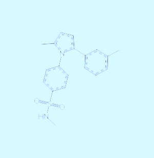 CNS(=O)(=O)c1ccc(-n2c(C)ccc2-c2cccc(C)c2)cc1